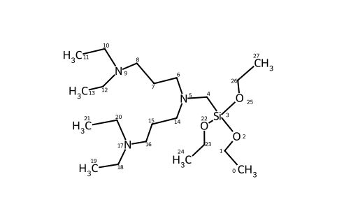 CCO[Si](CN(CCCN(CC)CC)CCCN(CC)CC)(OCC)OCC